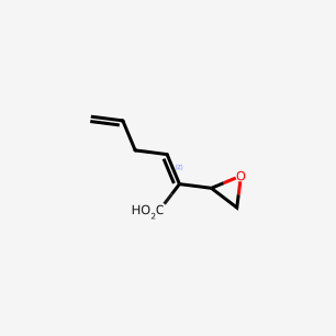 C=CC/C=C(\C(=O)O)C1CO1